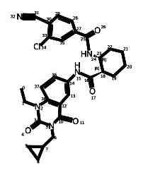 CCn1c(=O)n(CC2CC2)c(=O)c2cc(NC(=O)[C@@H]3CCCC[C@H]3NC(=O)c3ccc(C#N)c(Cl)c3)ccc21